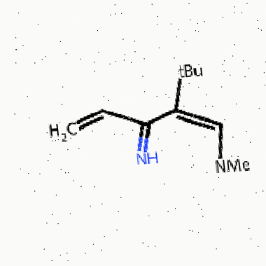 C=CC(=N)/C(=C\NC)C(C)(C)C